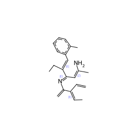 C=C/C(=C\C)C(=C)/N=C(\C=C(\C)N)C(=C/c1ccccc1C)/CC